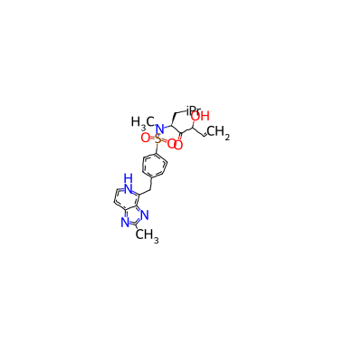 C=CC(O)C(=O)[C@H](CC(C)C)N(C)S(=O)(=O)c1ccc(Cc2[nH]ccc3nc(C)nc2-3)cc1